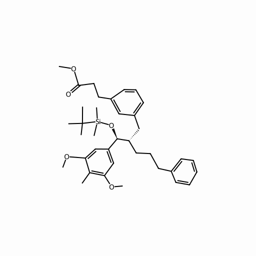 COC(=O)CCc1cccc(C[C@H](CCCc2ccccc2)[C@H](O[Si](C)(C)C(C)(C)C)c2cc(OC)c(C)c(OC)c2)c1